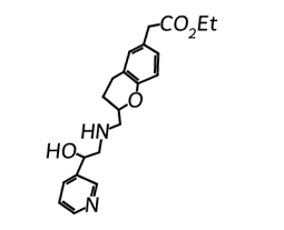 CCOC(=O)Cc1ccc2c(c1)CCC(CNCC(O)c1cccnc1)O2